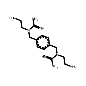 N=C(N)N(CCN)Cc1ccc(CN(CCN)C(=N)N)cc1